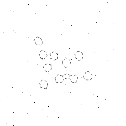 c1ccc(-c2ccc(-c3ccc(N(c4ccccc4)c4ccc5c6ccc(-c7ccccc7)cc6n(-c6nc(-c7ccccc7)nc(-c7ccccc7)n6)c5c4)cc3)cc2)cc1